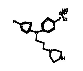 CCO.Cl.Cl.Fc1ccc(N(CCCN2CCNCC2)c2ccc(F)cc2)cc1